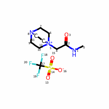 CNC(=O)C[N+]12CCN(CC1)CC2.O=S(=O)([O-])C(F)(F)F